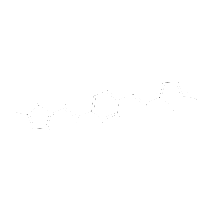 CC1=CC=C(C=Nc2ccc(C=Nc3ccc(C)s3)cc2)C1